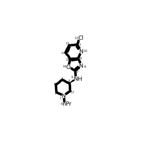 CCCN1CCC[C@@H](Nc2nc3nc(Cl)ccc3o2)C1